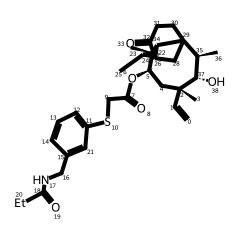 C=C[C@]1(C)C[C@@H](OC(=O)CSc2cccc(CNC(=O)CC)c2)[C@]2(C)C(C)CC34CC(CCC3=O)(C42)[C@@H](C)[C@@H]1O